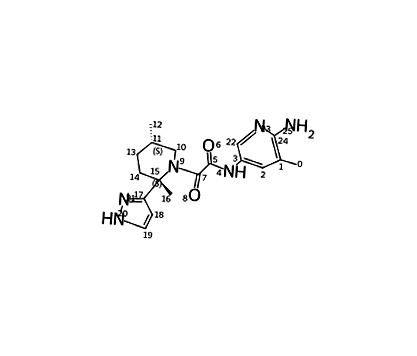 Cc1cc(NC(=O)C(=O)N2C[C@@H](C)CC[C@@]2(C)c2cc[nH]n2)cnc1N